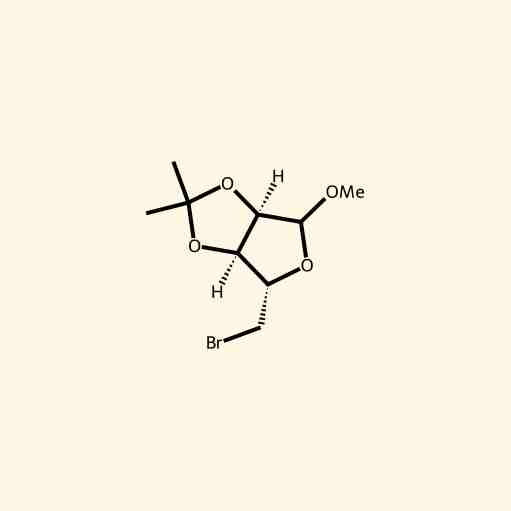 COC1O[C@H](CBr)[C@H]2OC(C)(C)O[C@@H]12